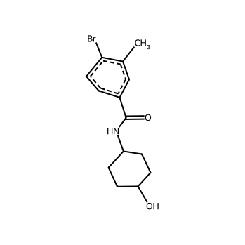 Cc1cc(C(=O)NC2CCC(O)CC2)ccc1Br